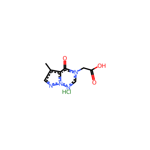 Cc1cnn2ncn(CC(=O)O)c(=O)c12.Cl